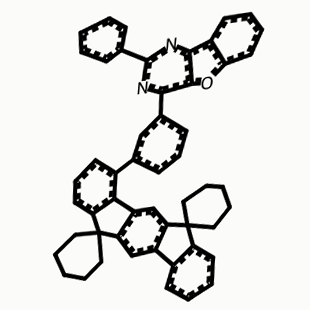 c1ccc(-c2nc(-c3cccc(-c4cccc5c4-c4cc6c(cc4C54CCCCC4)-c4ccccc4C64CCCCC4)c3)c3oc4ccccc4c3n2)cc1